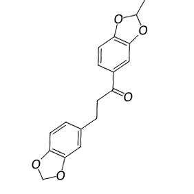 CC1Oc2ccc(C(=O)CCc3ccc4c(c3)OCO4)cc2O1